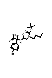 CCCCN(CC(=O)NC(C)(C(N)=O)c1ccc(Br)cc1)C(=O)OC(C)(C)C